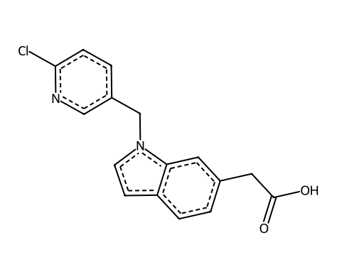 O=C(O)Cc1ccc2ccn(Cc3ccc(Cl)nc3)c2c1